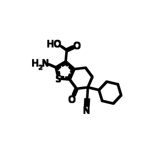 N#CC1(C2CCCCC2)CCc2c(sc(N)c2C(=O)O)C1=O